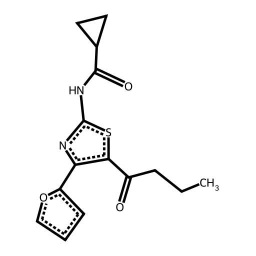 CCCC(=O)c1sc(NC(=O)C2CC2)nc1-c1ccco1